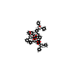 c1ccc(-c2nc(-c3ccccc3)nc(-c3ccc(-n4c5ccccc5c5cc(-c6nc(-c7ccccc7)nc(-c7ccccc7)n6)ccc54)c(-c4cccc(-c5cc(-c6nc(-c7ccccc7)nc(-c7ccccc7)n6)ccc5-n5c6ccccc6c6cc(-c7nc(-c8ccccc8)nc(-c8ccccc8)n7)ccc65)c4)c3)n2)cc1